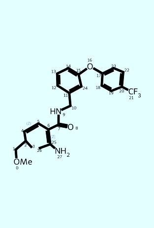 COCC(C)/C=C\C(C(=O)NCc1cccc(Oc2ccc(C(F)(F)F)cc2)c1)=C(/C)N